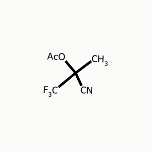 CC(=O)OC(C)(C#N)C(F)(F)F